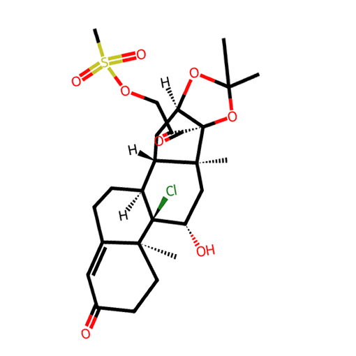 CC1(C)O[C@@H]2C[C@H]3[C@@H]4CCC5=CC(=O)CC[C@]5(C)[C@@]4(Cl)[C@@H](O)C[C@]3(C)[C@]2(C(=O)COS(C)(=O)=O)O1